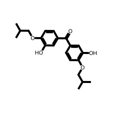 CC(C)COc1ccc(C(=O)c2ccc(OCC(C)C)c(O)c2)cc1O